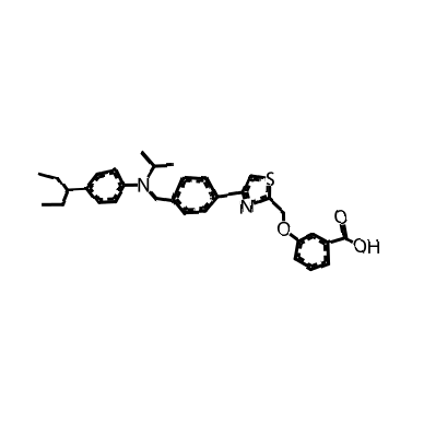 CCC(CC)c1ccc(N(Cc2ccc(-c3csc(COc4cccc(C(=O)O)c4)n3)cc2)C(C)C)cc1